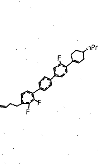 C=CCCc1ccc(-c2ccc(-c3ccc(C4=CCC(CCC)CC4)c(F)c3)cc2)c(F)c1F